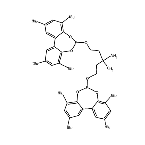 CC(N)(CCOp1oc2c(C(C)(C)C)cc(C(C)(C)C)cc2c2cc(C(C)(C)C)cc(C(C)(C)C)c2o1)CCOp1oc2c(C(C)(C)C)cc(C(C)(C)C)cc2c2cc(C(C)(C)C)cc(C(C)(C)C)c2o1